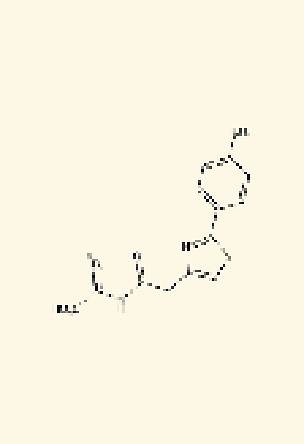 CC[C@H](C)[C@H](NC(=O)Cc1csc(-c2ccc(C)cc2)n1)C(=O)O